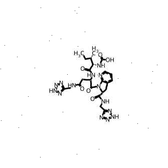 CC[C@H](C)[C@H](NC(=O)O)C(=O)NC(CC(=O)NCc1nn[nH]n1)C(=O)N1c2ncccc2CC1C(=O)NCc1nn[nH]n1